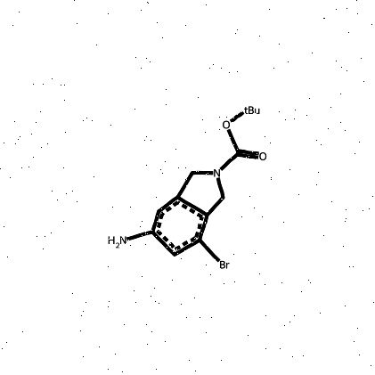 CC(C)(C)OC(=O)N1Cc2cc(N)cc(Br)c2C1